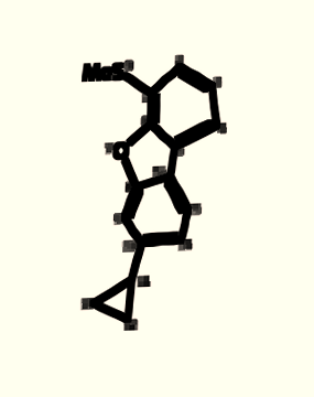 CSc1cccc2c1oc1cc(C3CC3)ccc12